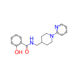 O=C(NCC1CCN(c2ccccn2)CC1)c1ccccc1O